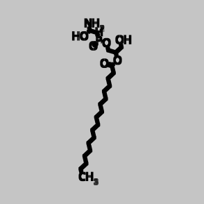 CCCCCCCCCCCCCCCCCC(=O)OC(CO)CO[PH](=O)CC(N)O